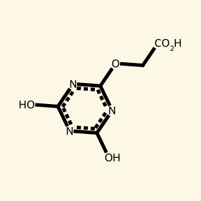 O=C(O)COc1nc(O)nc(O)n1